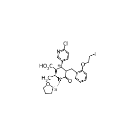 CC1=C(C(=O)O)[C@@H](c2ccc(Cl)nc2)C(Cc2ccccc2OCCI)C(=O)N1C[C@@H]1CCCO1